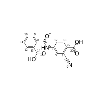 N#Cc1cc(NC(=O)c2ccccc2C(=O)O)ccc1C(=O)O